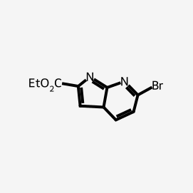 CCOC(=O)C1=CC2C=CC(Br)=NC2=N1